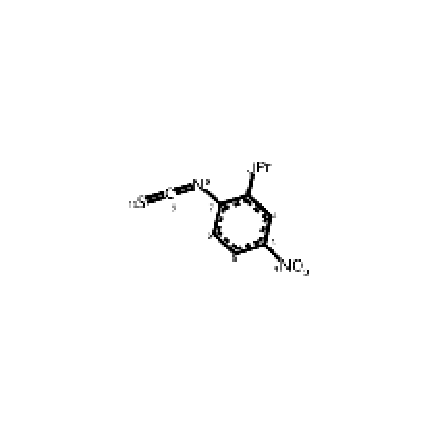 CC(C)c1cc([N+](=O)[O-])ccc1N=C=S